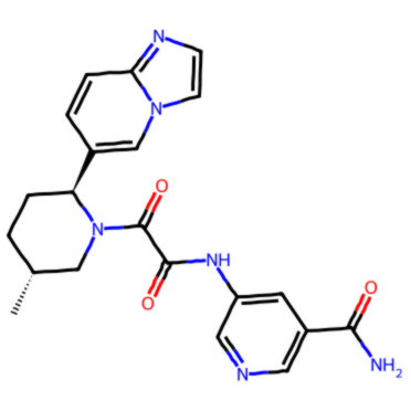 C[C@@H]1CC[C@@H](c2ccc3nccn3c2)N(C(=O)C(=O)Nc2cncc(C(N)=O)c2)C1